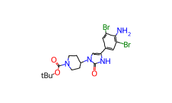 CC(C)(C)OC(=O)N1CCC(n2cc(-c3cc(Br)c(N)c(Br)c3)[nH]c2=O)CC1